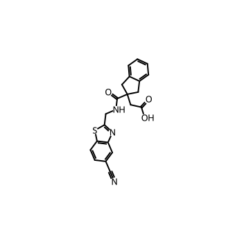 N#Cc1ccc2sc(CNC(=O)C3(CC(=O)O)Cc4ccccc4C3)nc2c1